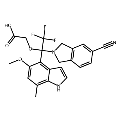 COc1cc(C)c2[nH]ccc2c1C(OCC(=O)O)(N1Cc2ccc(C#N)cc2C1)C(F)(F)F